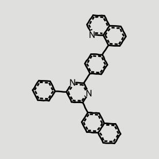 c1ccc(-c2cc(-c3ccc4ccccc4c3)nc(-c3ccc(-c4cccc5cccnc45)cc3)n2)cc1